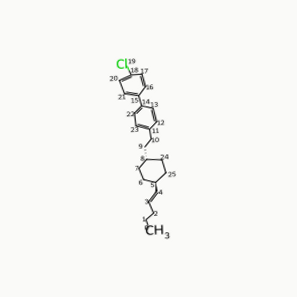 CCC/C=C/[C@H]1CC[C@H](CCc2ccc(-c3ccc(Cl)cc3)cc2)CC1